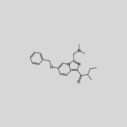 CCC(C)C(=O)c1nc(CN(C)C)n2cc(OCc3ccccc3)ccc12